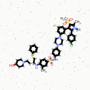 CCn1c(C)c(S(C)(=O)=O)c(-c2cc(F)cc(N3CCN(c4ccc(NS(=O)(=O)c5ccc(N[C@H](CCN6CCC(O)CC6)CSc6ccccc6)c(C)c5)cc4)CC3)c2)c1-c1ccc(Cl)cc1